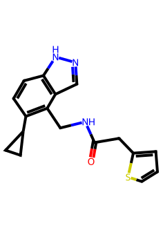 O=C(Cc1cccs1)NCc1c(C2CC2)ccc2[nH]ncc12